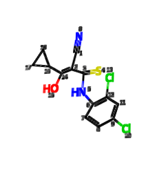 N#CC(C(=S)Nc1ccc(Cl)cc1Cl)=C(O)C1CC1